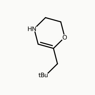 CC(C)(C)CC1=CNCCO1